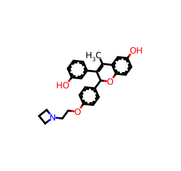 CC1=C(c2cccc(O)c2)C(c2ccc(OCCN3CCC3)cc2)Oc2ccc(O)cc21